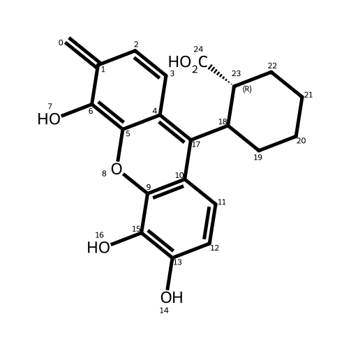 C=c1ccc2c(c1O)Oc1c(ccc(O)c1O)C=2C1CCCC[C@H]1C(=O)O